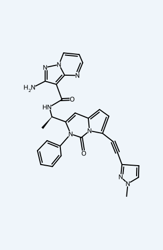 C[C@@H](NC(=O)c1c(N)nn2cccnc12)c1cc2ccc(C#Cc3ccn(C)n3)n2c(=O)n1-c1ccccc1